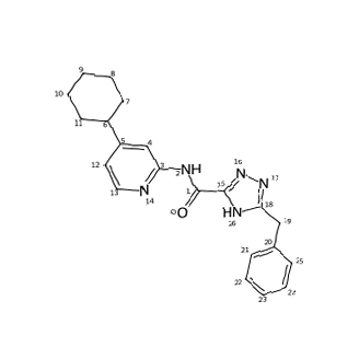 O=C(Nc1cc(C2CCCCC2)ccn1)c1nnc(Cc2ccccc2)[nH]1